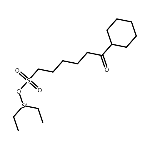 CC[S+](CC)OS(=O)(=O)CCCCCC(=O)C1CCCCC1